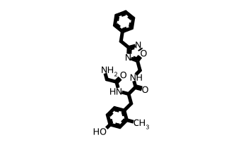 Cc1cc(O)ccc1CC(NC(=O)CN)C(=O)NCc1nc(Cc2ccccc2)no1